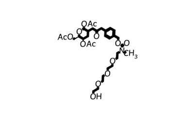 CC(=O)OC[C@H]1OC(OC(C)=O)C(CC(=O)Cc2ccc(COC(=O)N(C)CCOCCOCCOCCO)cc2)C[C@H]1OC(C)=O